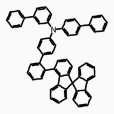 c1ccc(-c2ccc(N(c3ccc(-c4ccccc4-c4cccc5c4-c4ccccc4C54c5ccccc5-c5ccccc54)cc3)c3cccc(-c4ccccc4)c3)cc2)cc1